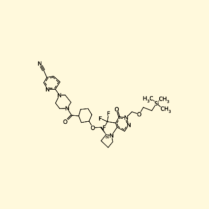 C[Si](C)(C)CCOCn1ncc(N2CCC[C@H]2COC2CCCC(C(=O)N3CCN(c4ccc(C#N)cn4)CC3)C2)c(C(F)(F)F)c1=O